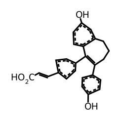 O=C(O)C=Cc1ccc(C2=C(c3ccc(O)cc3)CCCc3cc(O)ccc32)cc1